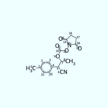 Cc1ccc(C(C#N)C(C)OC(=O)ON2C(=O)CCC2=O)cc1